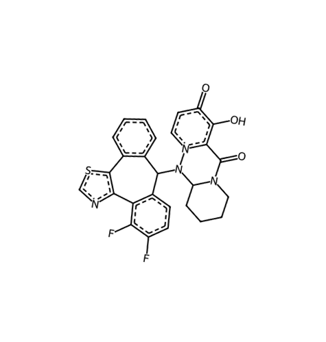 O=C1c2c(O)c(=O)ccn2N(C2c3ccccc3-c3scnc3-c3c2ccc(F)c3F)C2CCCCN12